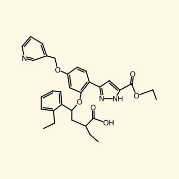 CCOC(=O)c1cc(-c2ccc(OCc3cccnc3)cc2OC(CC(CC)C(=O)O)c2ccccc2CC)n[nH]1